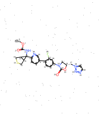 CC(C)(C)OC(=O)NC1(c2ccc(-c3ccc(N4C[C@H](Cn5ccnn5)OC4=O)cc3F)cn2)C2CSCC21